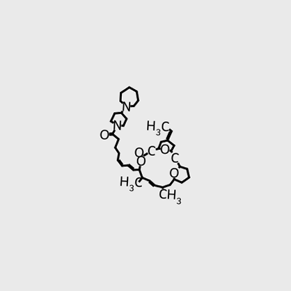 C/C=C1\CC2CC(=O)OC(/C=C/C=C\CCCC(=O)N3CCC(N4CCCCCC4)CC3)C(C)/C=C/C(C)CC3CCCC(CC(C1)O2)O3